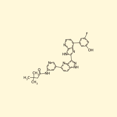 CC(C)(C)CC(=O)Nc1cncc(-c2ccc3[nH]nc(-c4nc5c(-c6cc(O)cc(F)c6)ccnc5[nH]4)c3n2)c1